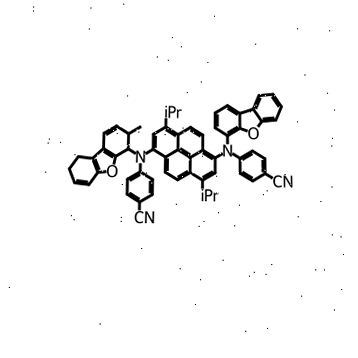 CC(C)c1cc(N(c2ccc(C#N)cc2)c2cccc3c2oc2ccccc23)c2ccc3c(C(C)C)cc(N(c4ccc(C#N)cc4)C4c5oc6c(c5C=CC4C)CCC=C6)c4ccc1c2c34